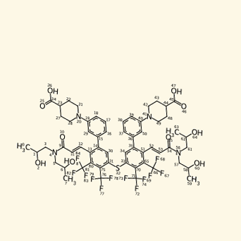 CC(O)CN(CC(C)O)C(=O)/C=C/c1c(-c2cccc(N3CCC(C(=O)O)CC3)c2)cc(Sc2cc(-c3cccc(N4CCC(C(=O)O)CC4)c3)c(/C=C/C(=O)N(CC(C)O)CC(C)O)c(C(F)(F)F)c2C(F)(F)F)c(C(F)(F)F)c1C(F)(F)F